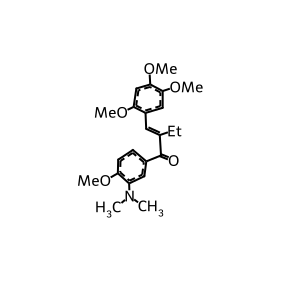 CC/C(=C\c1cc(OC)c(OC)cc1OC)C(=O)c1ccc(OC)c(N(C)C)c1